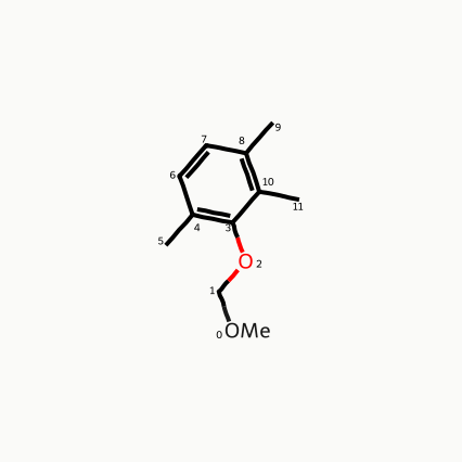 COCOc1c(C)ccc(C)c1C